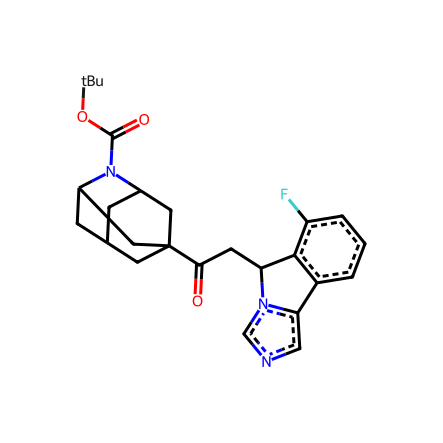 CC(C)(C)OC(=O)N1C2CC3CC1CC(C(=O)CC1c4c(F)cccc4-c4cncn41)(C3)C2